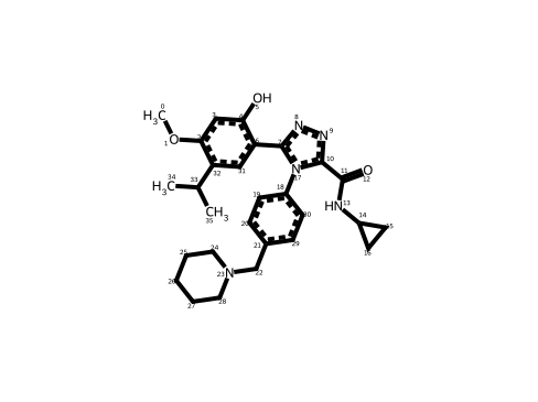 COc1cc(O)c(-c2nnc(C(=O)NC3CC3)n2-c2ccc(CN3CCCCC3)cc2)cc1C(C)C